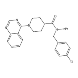 CCCN(Cc1ccc(Cl)cc1)C(=O)C1CCN(c2ncnc3ccccc23)CC1